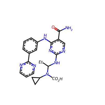 CCC(Nc1ncc(C(N)=O)c(Nc2cccc(-c3ncccn3)c2)n1)N(C(=O)O)C1CC1